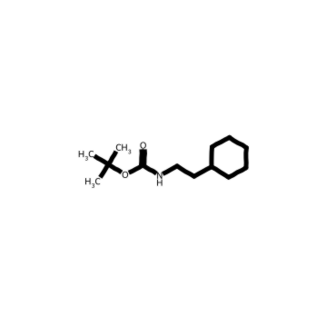 CC(C)(C)OC(=O)NCCC1CCCCC1